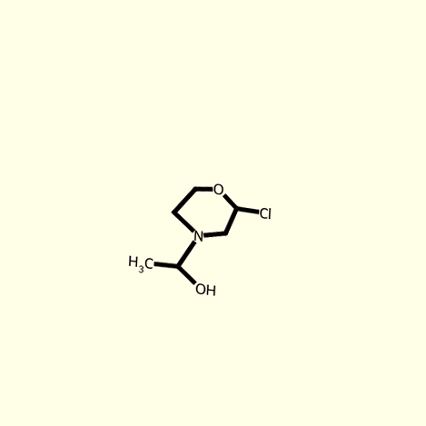 CC(O)N1CCOC(Cl)C1